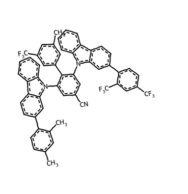 Cc1cc(-c2c(-n3c4ccccc4c4ccc(-c5ccc(C)cc5C)cc43)cc(C#N)cc2-n2c3ccccc3c3ccc(-c4ccc(C(F)(F)F)cc4C(F)(F)F)cc32)cc(C(F)(F)F)c1